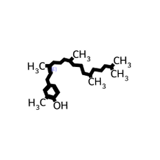 C/C(=C\Cc1ccc(O)c(C)c1)CCCC(C)CCCC(C)CCCC(C)C